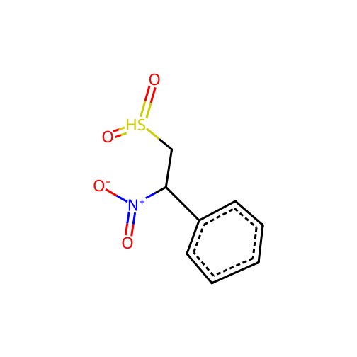 O=[N+]([O-])C(C[SH](=O)=O)c1ccccc1